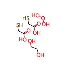 O=C(O)CS.O=C(O)CS.OCCO.OOO